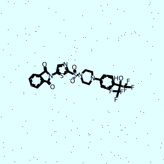 O=C1c2ccccc2C(=O)N1c1cnc(S(=O)(=O)N2CCN(c3ccc(C(O)(C(F)(F)F)C(F)(F)F)cc3)CC2)s1